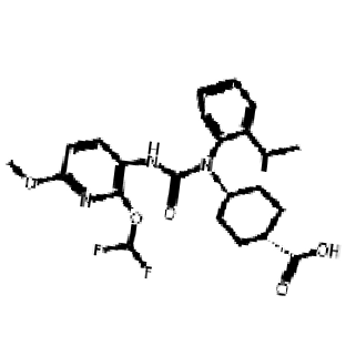 COc1ccc(NC(=O)N(c2ccccc2C(C)C)[C@H]2CC[C@H](C(=O)O)CC2)c(OC(F)F)n1